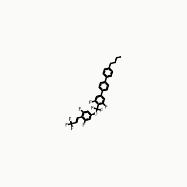 CCCCc1ccc(-c2ccc(-c3cc(F)c(C(F)(F)Oc4cc(F)c(/C=C/C(F)(F)F)c(F)c4)c(F)c3)cc2)cc1